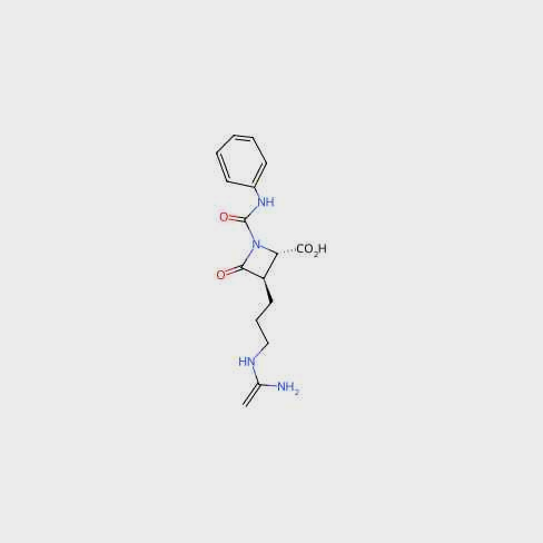 C=C(N)NCCC[C@H]1C(=O)N(C(=O)Nc2ccccc2)[C@@H]1C(=O)O